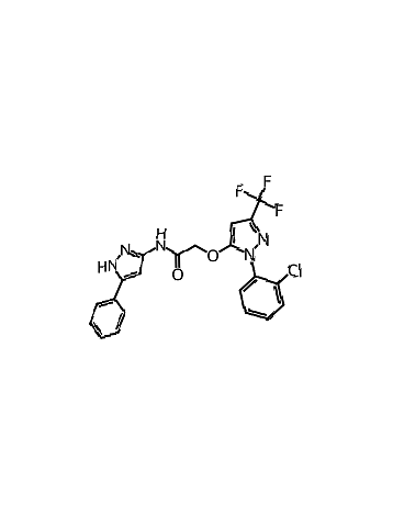 O=C(COc1cc(C(F)(F)F)nn1-c1ccccc1Cl)Nc1cc(-c2ccccc2)[nH]n1